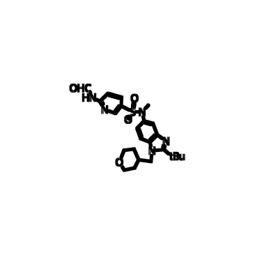 CN(c1ccc2c(c1)nc(C(C)(C)C)n2CC1CCOCC1)S(=O)(=O)c1ccc(NC=O)nc1